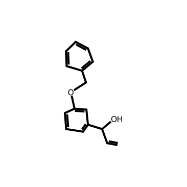 C=CC(O)c1cccc(OCc2ccccc2)c1